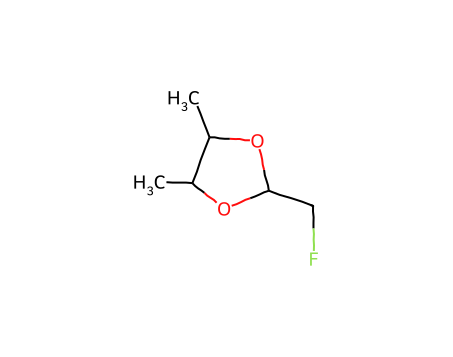 CC1OC(CF)OC1C